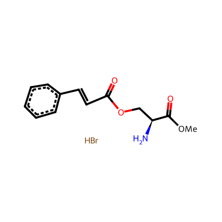 Br.COC(=O)[C@@H](N)COC(=O)/C=C/c1ccccc1